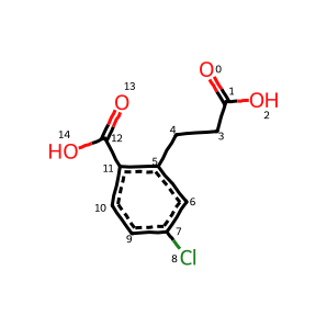 O=C(O)CCc1cc(Cl)ccc1C(=O)O